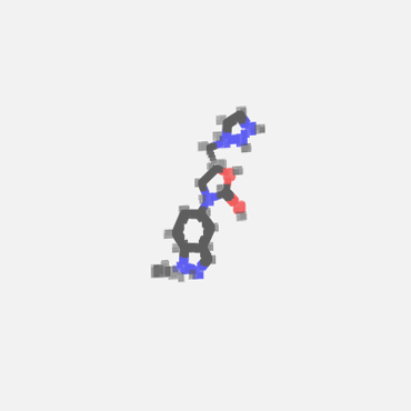 CC[C@@H](C)n1ncc2cc(N3C[C@H](Cn4ccnn4)OC3=O)ccc21